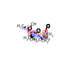 C#CCCC(NC(=O)[C@@H]1[C@@H]2[C@H](CN1C(=O)[C@@H](NC(=O)N[C@H](CN(C)S(=O)(=O)N(C)C(=O)OCc1ccccc1)C(C)(C)C)C1CCCCC1)C2(C)C)C(=O)C(=O)NCC=C